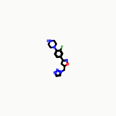 Fc1cc(C2=NOC(Cn3ccnn3)C2)ccc1N1CCNCC1